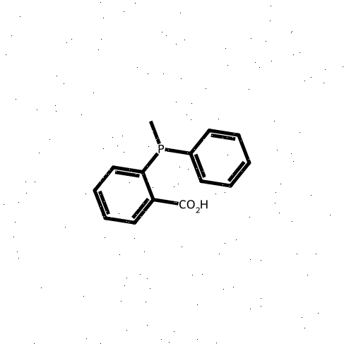 CP(c1ccccc1)c1ccccc1C(=O)O